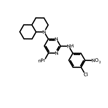 CCCc1cc(N2CCCC3CCCCC32)nc(Nc2ccc(Cl)c([N+](=O)[O-])c2)n1